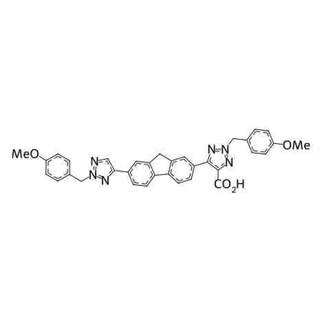 COc1ccc(Cn2ncc(-c3ccc4c(c3)Cc3cc(-c5nn(Cc6ccc(OC)cc6)nc5C(=O)O)ccc3-4)n2)cc1